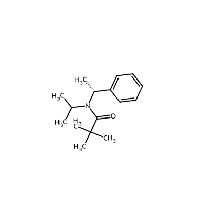 CC(C)N(C(=O)C(C)(C)C)[C@H](C)c1ccccc1